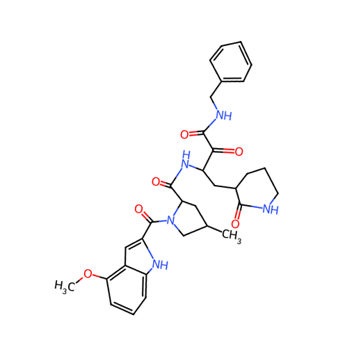 COc1cccc2[nH]c(C(=O)N3CC(C)CC3C(=O)NC(CC3CCCNC3=O)C(=O)C(=O)NCc3ccccc3)cc12